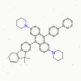 CC1(C)C2=C(CCC=C2)c2ccc(-c3c4ccc(N5CCCCC5)cc4c(-c4ccc(-c5ccccc5)cc4)c4ccc(N5CCCCC5)cc34)cc21